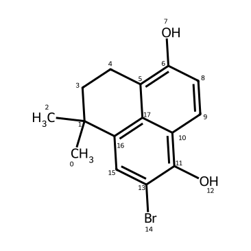 CC1(C)CCc2c(O)ccc3c(O)c(Br)cc1c23